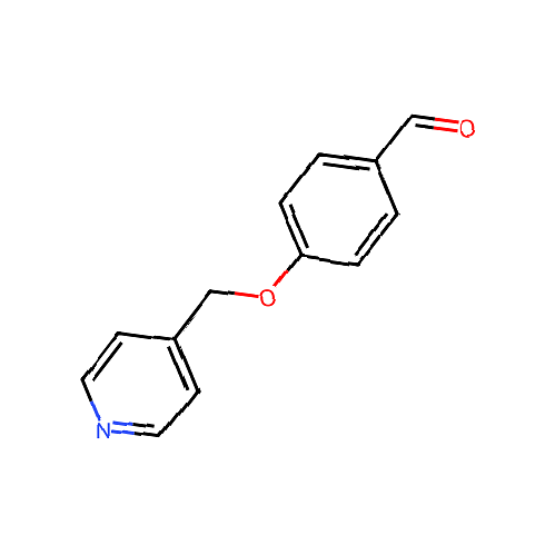 O=Cc1ccc(OCc2ccncc2)cc1